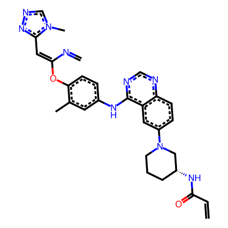 C=CC(=O)N[C@@H]1CCCN(c2ccc3ncnc(Nc4ccc(O/C(=C/c5nncn5C)N=C)c(C)c4)c3c2)C1